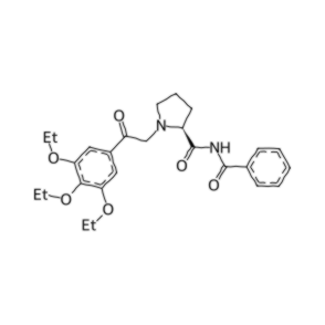 CCOc1cc(C(=O)CN2CCC[C@H]2C(=O)NC(=O)c2ccccc2)cc(OCC)c1OCC